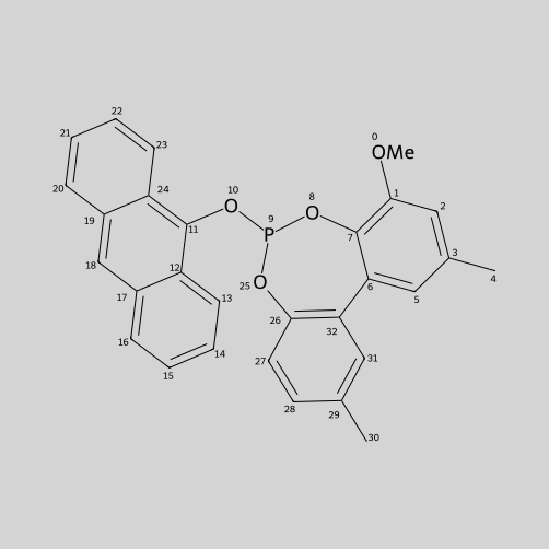 COc1cc(C)cc2c1op(Oc1c3ccccc3cc3ccccc13)oc1ccc(C)cc12